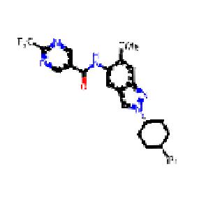 COc1cc2nn([C@H]3CC[C@H](C(C)C)CC3)cc2cc1NC(=O)c1cnc(C(F)(F)F)nc1